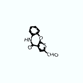 O=Cc1cc2c(s1)Oc1ccccc1NC2=O